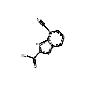 N#Cc1cccc2cc(C(=O)O)[nH]c12